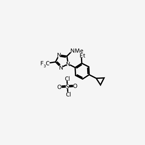 CCc1cc(C2CC2)ccc1-n1nc(C(F)(F)F)nc1NC.O=S(=O)(Cl)Cl